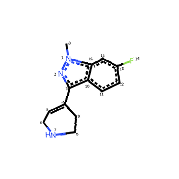 Cn1nc(C2=CCNCC2)c2ccc(F)cc21